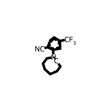 N#Cc1ccc(C(F)(F)F)cc1N1CCCCCCC1